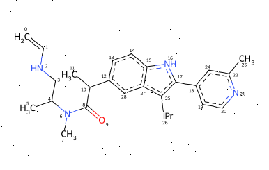 C=CNCC(C)N(C)C(=O)C(C)c1ccc2[nH]c(-c3ccnc(C)c3)c(C(C)C)c2c1